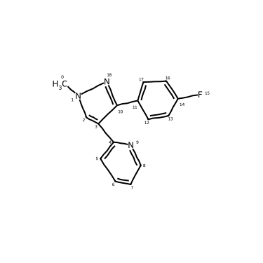 Cn1cc(-c2ccccn2)c(-c2ccc(F)cc2)n1